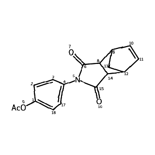 CC(=O)Oc1ccc(N2C(=O)C3C4C=CC(C4)C3C2=O)cc1